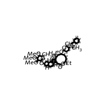 CC[C@H]1CCC[C@H](O[C@H]2CC[C@H](N(C)Cc3ccccc3)C(C)O2)[C@@H](C)C(=O)C2=C[C@@H]3[C@@H](C=C[C@@H]4C[C@@H](O[C@@H]5OC(C)[C@H](OC)C(OC)C5OC)C[C@@H]34)[C@@H]2CC(=O)O1